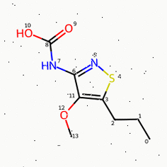 CCCc1snc(NC(=O)O)c1OC